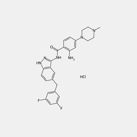 CN1CCN(c2ccc(C(=O)Nc3n[nH]c4ccc(Cc5cc(F)cc(F)c5)cc34)c(N)c2)CC1.Cl